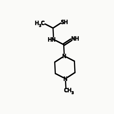 CC(S)NC(=N)N1CCN(C)CC1